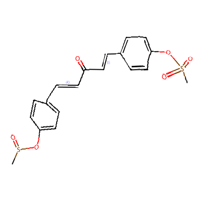 CS(=O)Oc1ccc(/C=C/C(=O)/C=C/c2ccc(OS(C)(=O)=O)cc2)cc1